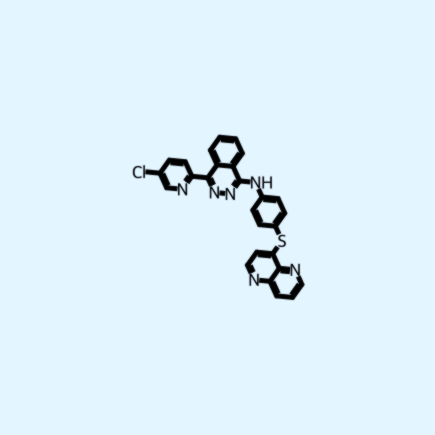 Clc1ccc(-c2nnc(Nc3ccc(Sc4ccnc5cccnc45)cc3)c3ccccc23)nc1